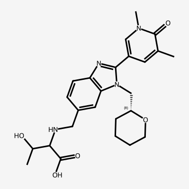 Cc1cc(-c2nc3ccc(CNC(C(=O)O)C(C)O)cc3n2C[C@H]2CCCCO2)cn(C)c1=O